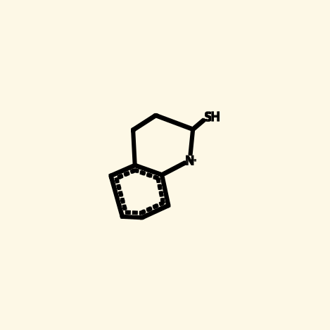 SC1CCc2ccccc2[N]1